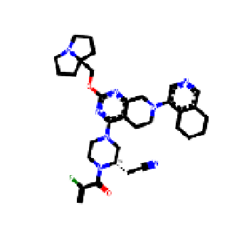 C=C(F)C(=O)N1CCN(c2nc(OCC34CCCN3CCC4)nc3c2CCN(c2cncc4c2CCCC4)C3)C[C@@H]1CC#N